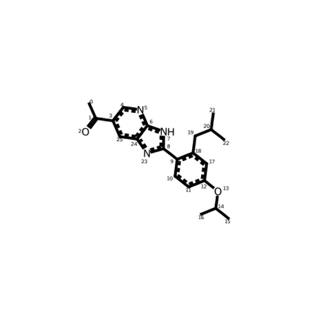 CC(=O)c1cnc2[nH]c(-c3ccc(OC(C)C)cc3CC(C)C)nc2c1